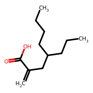 C=C(CC(CCC)CCCC)C(=O)O